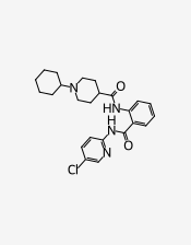 O=C(Nc1ccc(Cl)cn1)c1ccccc1NC(=O)C1CCN(C2CCCCC2)CC1